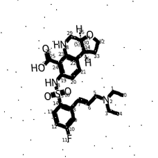 CCN(CC)CC=Cc1cc(F)ccc1S(=O)(=O)Nc1ccc2c(c1C(=O)O)NC[C@H]1OCC[C@@H]21